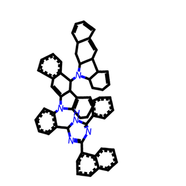 C1=CC2=CC3C4C=CCCC4N(C4c5ccccc5C=C5C4C4=C(CCC=C4)N5c4ccccc4C4N=C(c5cccc6ccccc56)N=C(c5ccccc5)N4)C3CC2C=C1